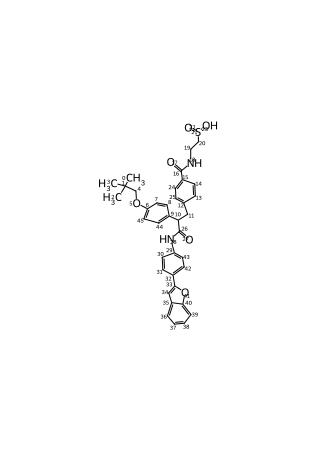 CC(C)(C)COc1ccc(C(Cc2ccc(C(=O)NCCS(=O)O)cc2)C(=O)Nc2ccc(-c3cc4ccccc4o3)cc2)cc1